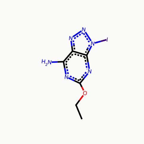 CCOc1nc(N)c2nnn(I)c2n1